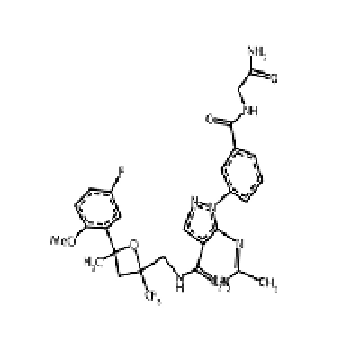 C=C(NCC1(C(F)(F)F)CC(C)(c2cc(F)ccc2OC)O1)c1cnn(-c2cccc(C(=O)NCC(N)=O)c2)c1/N=C(/C)N